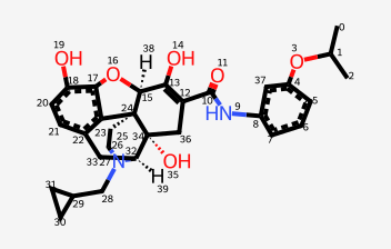 CC(C)Oc1cccc(NC(=O)C2=C(O)[C@@H]3Oc4c(O)ccc5c4[C@@]34CCN(CC3CC3)[C@H](C5)[C@]4(O)C2)c1